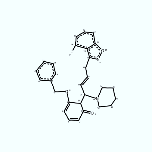 O=C1[C]=CC=C(OCc2ccccc2)C1C(C=CCc1noc2cccc(F)c12)N1CCCCC1